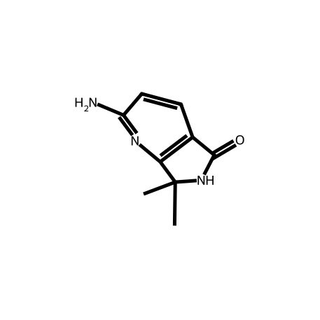 CC1(C)NC(=O)c2ccc(N)nc21